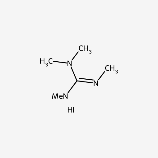 CN=C(NC)N(C)C.I